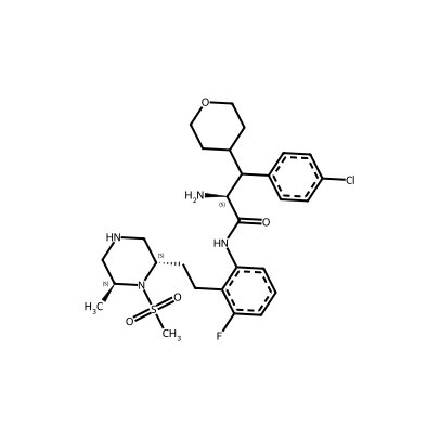 C[C@H]1CNC[C@H](CCc2c(F)cccc2NC(=O)[C@@H](N)C(c2ccc(Cl)cc2)C2CCOCC2)N1S(C)(=O)=O